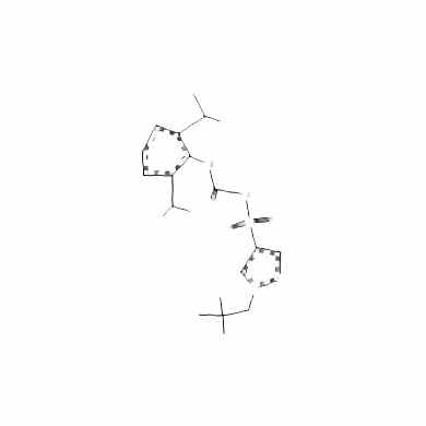 CC(C)c1cccc(C(C)C)c1NC(=O)NS(=O)(=O)c1cnn(CC(F)(F)F)c1